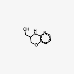 OCC1COc2cccnc2N1